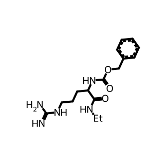 CCNC(=O)C(CCCNC(=N)N)NC(=O)OCc1ccccc1